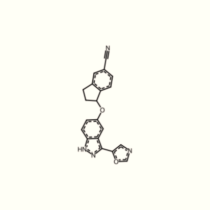 N#Cc1ccc2c(c1)CCC2Oc1ccc2[nH]nc(-c3cnco3)c2c1